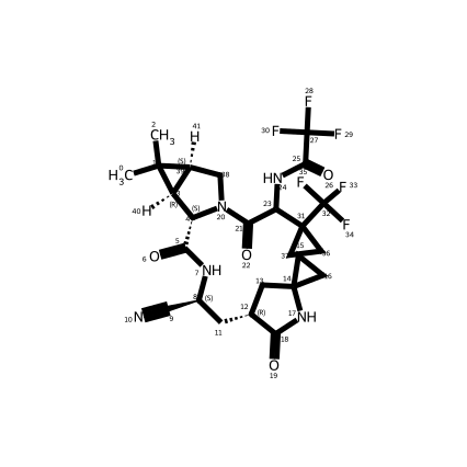 CC1(C)[C@@H]2[C@@H](C(=O)N[C@H](C#N)C[C@@H]3CC4(CC4)NC3=O)N(C(=O)C(NC(=O)C(F)(F)F)C3(C(F)(F)F)CC3)C[C@@H]21